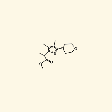 COC(=O)C(C)c1sc(N2CCOCC2)c(C)c1C